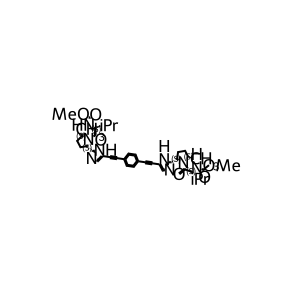 COC(=O)N[C@H](C(=O)N1[C@@H](C)CC[C@H]1c1ncc(C#Cc2ccc(C#Cc3cnc([C@@H]4CC[C@H](C)N4C(=O)[C@@H](NC(=O)OC)C(C)C)[nH]3)cc2)[nH]1)C(C)C